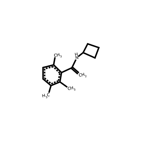 C=C(NC1CCC1)c1c(C)ccc(C)c1C